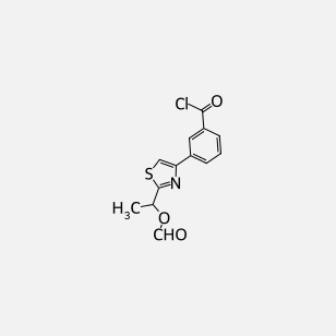 CC(OC=O)c1nc(-c2cccc(C(=O)Cl)c2)cs1